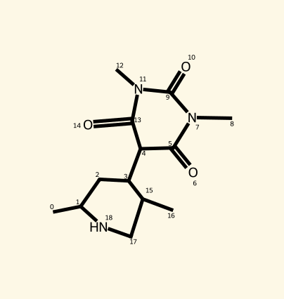 CC1CC(C2C(=O)N(C)C(=O)N(C)C2=O)C(C)CN1